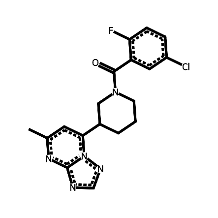 Cc1cc(C2CCCN(C(=O)c3cc(Cl)ccc3F)C2)n2ncnc2n1